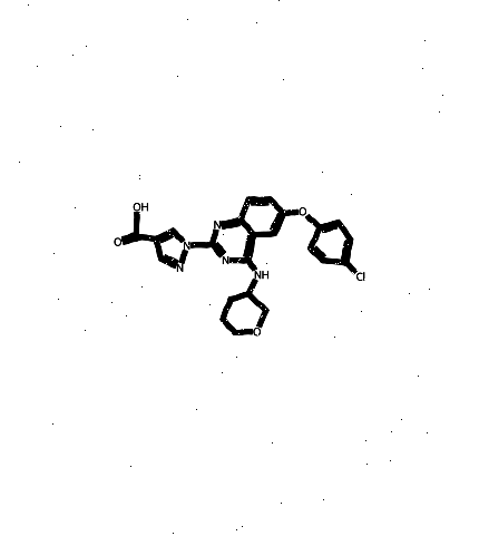 O=C(O)c1cnn(-c2nc(NC3CCCOC3)c3cc(Oc4ccc(Cl)cc4)ccc3n2)c1